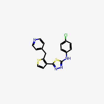 Clc1ccc(Nc2nnc(-c3ccsc3Cc3ccncc3)s2)cc1